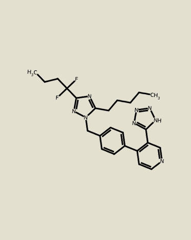 CCCCCc1nc(C(F)(F)CCC)nn1Cc1ccc(-c2ccncc2-c2nnn[nH]2)cc1